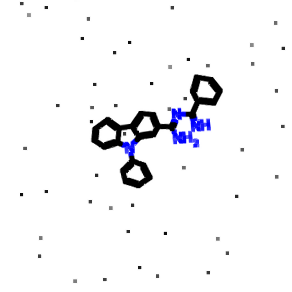 N=C(/N=C(\N)c1ccc2c3ccccc3n(-c3ccccc3)c2c1)c1ccccc1